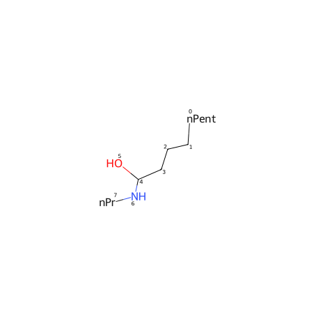 CCCCCCCCC(O)NCCC